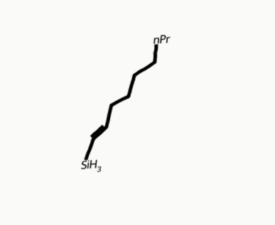 CCCCCCCC=C[SiH3]